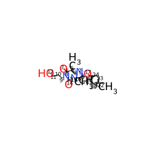 C/C(=N\c1c(C)c(=O)n(CCCO)c(=O)n1C)Oc1ccc(C)cc1